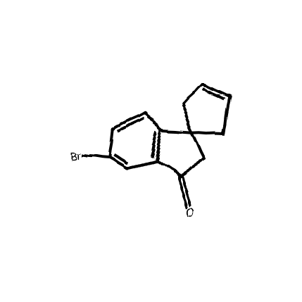 O=C1CC2(CC=CC2)c2ccc(Br)cc21